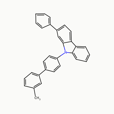 Cc1cccc(-c2ccc(-n3c4ccccc4c4ccc(-c5ccccc5)cc43)cc2)c1